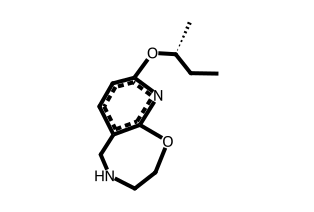 CC[C@@H](C)Oc1ccc2c(n1)OCCNC2